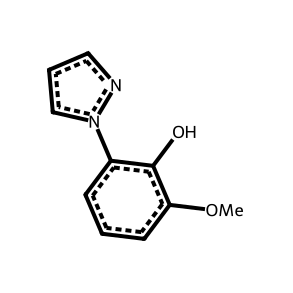 COc1cccc(-n2cccn2)c1O